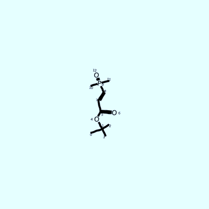 CC(C)(C)OC(=O)/C=C/P(C)(C)=O